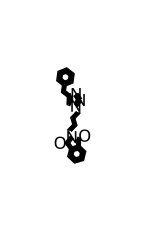 O=C1c2ccccc2C(=O)N1CCCCn1cc(Cc2ccccc2)nn1